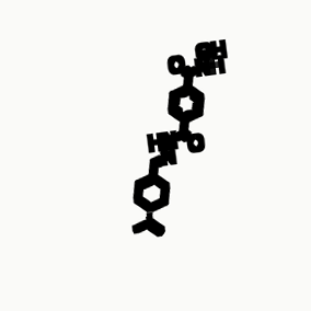 C=C(C)[C@@H]1CC=C(/C=N/NC(=O)c2ccc(C(=O)NO)cc2)CC1